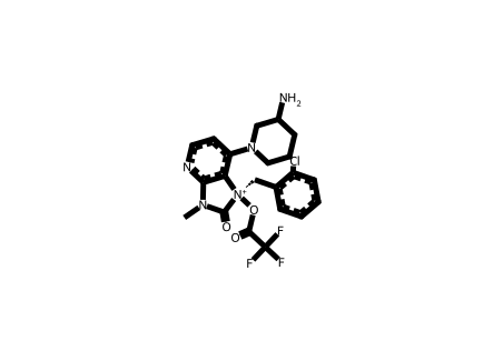 CN1C(=O)[N@+](Cc2ccccc2Cl)(OC(=O)C(F)(F)F)c2c(N3CCCC(N)C3)ccnc21